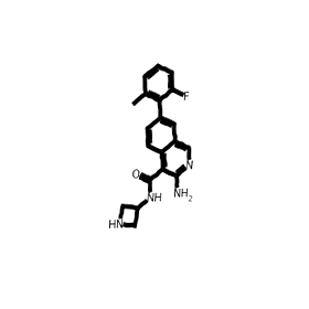 Cc1cccc(F)c1-c1ccc2c(C(=O)NC3CNC3)c(N)ncc2c1